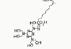 CCCCCCCC/C=C\CCCCCCCC(=O)O.OCN(CO)c1nc(N(CO)CO)nc(N(CO)CO)n1